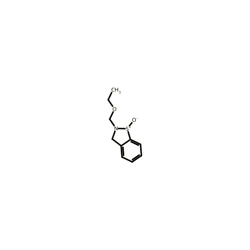 CCOCN1Cc2ccccc2[S+]1[O-]